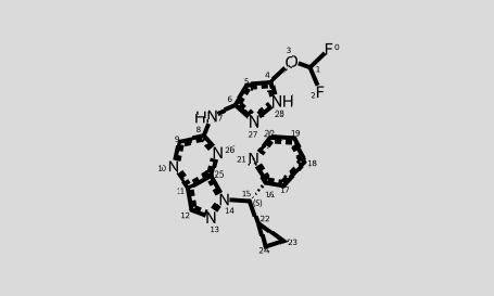 FC(F)Oc1cc(Nc2cnc3cnn([C@H](c4ccccn4)C4CC4)c3n2)n[nH]1